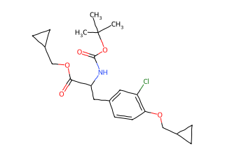 CC(C)(C)OC(=O)NC(Cc1ccc(OCC2CC2)c(Cl)c1)C(=O)OCC1CC1